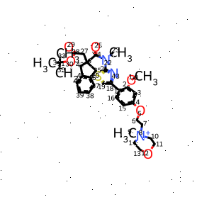 COc1cc(OCC[N+]2(C)CCOCC2)ccc1-c1csc(N(C)C(=O)C2(CC(=O)OC(C)(C)C)Cc3ccccc3C2)n1